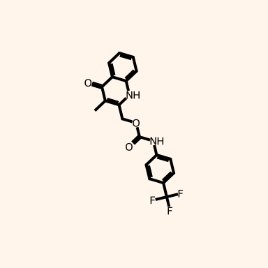 Cc1c(COC(=O)Nc2ccc(C(F)(F)F)cc2)[nH]c2ccccc2c1=O